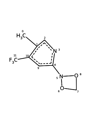 Cc1cnc(N2OCO2)cc1C(F)(F)F